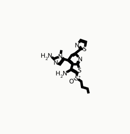 CCCC[S+]([O-])c1sc2nc(-c3nccs3)cc(-c3cnc(N)n3C)c2c1N